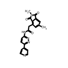 Cc1cc(CC(=O)Nc2ccc(-c3ccncc3)nn2)c2c(c1)C(=O)N(C)C2=O